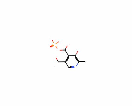 Cc1ncc(CO)c(C(O)OP(=O)(O)O)c1O.Cl